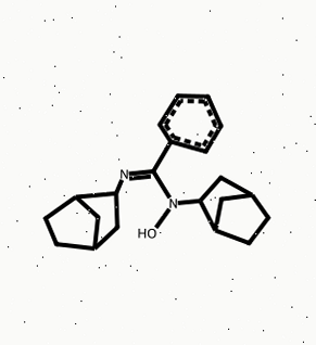 ON(C(=NC1CC2CCC1C2)c1ccccc1)C1CC2CCC1C2